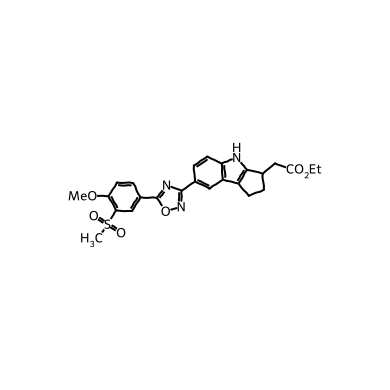 CCOC(=O)CC1CCc2c1[nH]c1ccc(-c3noc(-c4ccc(OC)c(S(C)(=O)=O)c4)n3)cc21